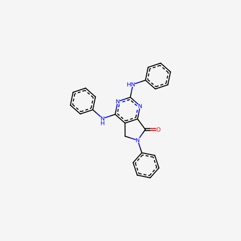 O=C1c2nc(Nc3ccccc3)nc(Nc3ccccc3)c2CN1c1ccccc1